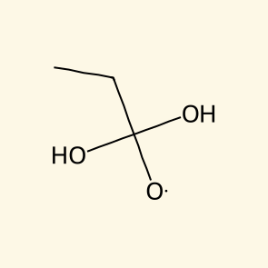 CCC([O])(O)O